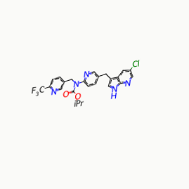 CC(C)OC(=O)N(Cc1ccc(C(F)(F)F)nc1)c1ccc(Cc2c[nH]c3ncc(Cl)cc23)cn1